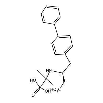 CC(C)(N[C@H](CC(=O)O)Cc1ccc(-c2ccccc2)cc1)P(=O)(O)O